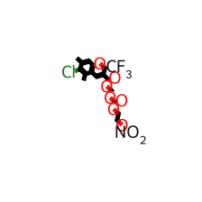 Cc1cc2c(c(C)c1Cl)C=C(C(=O)OCOC(=O)OCCO[N+](=O)[O-])[C@@H](C(F)(F)F)O2